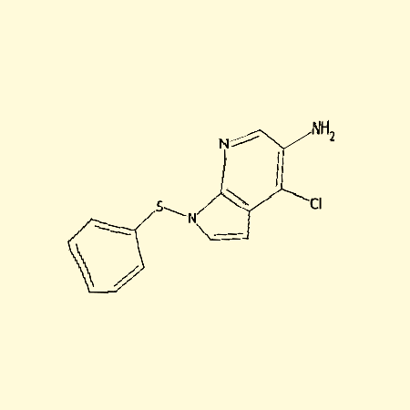 Nc1cnc2c(ccn2Sc2ccccc2)c1Cl